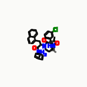 CC(=O)[C@]1(c2cccc(Cl)c2)N[C@H](C)CCN(C(Cc2cccc3ccccc23)C(N)=O)C1=O.c1cc2ccc1-2